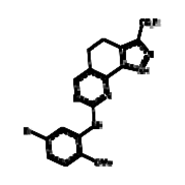 CCOC(=O)c1n[nH]c2c1CCc1cnc(Nc3cc(Br)ccc3OC)nc1-2